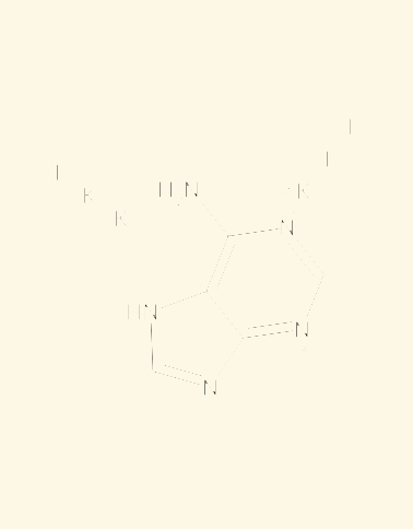 Nc1ncnc2nc[nH]c12.[I-].[I-].[I-].[K+].[K+].[K+]